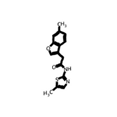 Cc1ccc2c(CC(=O)Nc3ncc(C)s3)coc2c1